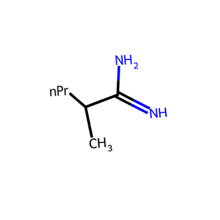 CCCC(C)C(=N)N